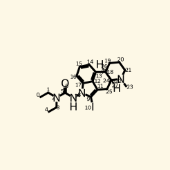 CCN(CC)C(=O)Nn1c(I)c2c3c(cccc31)[C@H]1CCCN(C)[C@@H]1C2